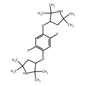 CC1(C)CC(Oc2cc(F)c(OC3CC(C)(C)NC3(C)C)cc2F)C(C)(C)N1